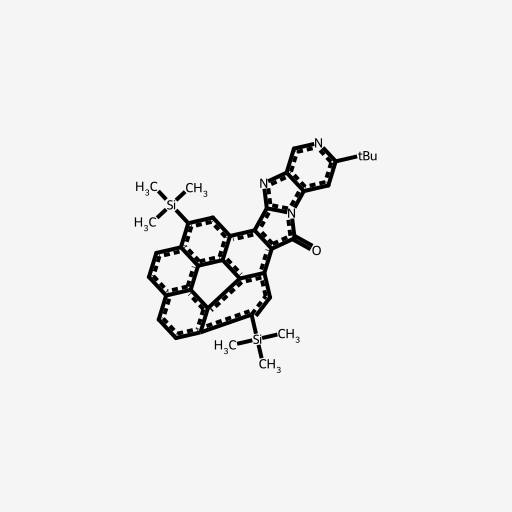 CC(C)(C)c1cc2c(cn1)nc1c3c4cc([Si](C)(C)C)c5ccc6ccc7c([Si](C)(C)C)cc(c3c(=O)n21)c1c7c6c5c41